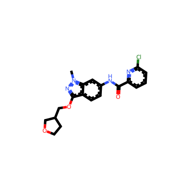 Cn1nc(OCC2CCOC2)c2ccc(NC(=O)c3cccc(Cl)n3)cc21